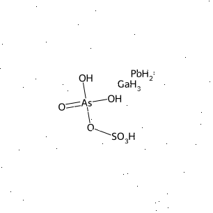 O=S(=O)(O)O[As](=O)(O)O.[GaH3].[PbH2]